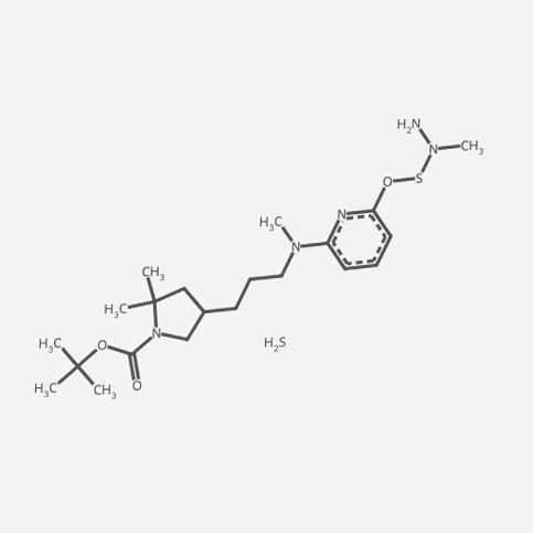 CN(N)SOc1cccc(N(C)CCCC2CN(C(=O)OC(C)(C)C)C(C)(C)C2)n1.S